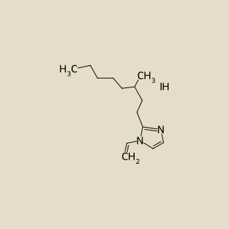 C=Cn1ccnc1CCC(C)CCCCC.I